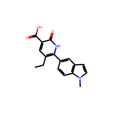 CCc1cc(C(=O)O)c(=O)[nH]c1-c1ccc2c(ccn2C)c1